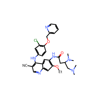 CCOc1cc2ncc(C#N)c(Nc3ccc(OCc4ccccn4)c(Cl)c3)c2cc1NC(=O)CC(CN(C)C)N(C)C